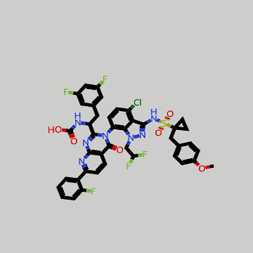 COc1ccc(CC2(S(=O)(=O)Nc3nn(CC(F)F)c4c(-n5c(C(Cc6cc(F)cc(F)c6)NC(=O)O)nc6nc(-c7ccccc7F)ccc6c5=O)ccc(Cl)c34)CC2)cc1